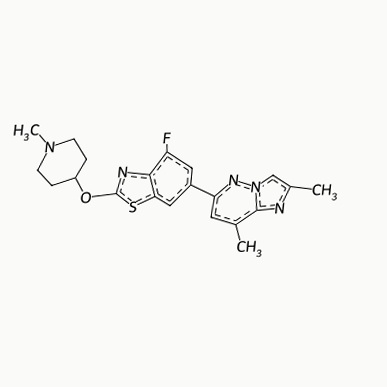 Cc1cn2nc(-c3cc(F)c4nc(OC5CCN(C)CC5)sc4c3)cc(C)c2n1